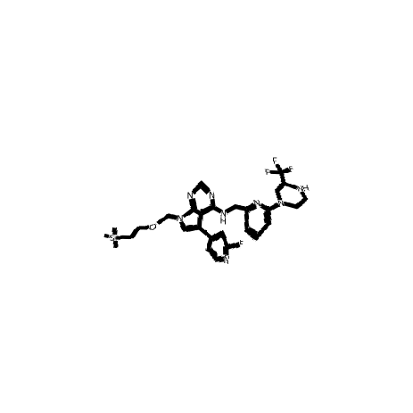 C[Si](C)(C)CCOCn1cc(-c2ccnc(F)c2)c2c(NCc3cccc(N4CCNC(C(F)(F)F)C4)n3)ncnc21